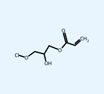 C=CC(=O)OCC(O)COCl